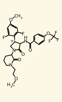 COCCN1CCCC(N2C[C@@H](c3c(F)cc(OC)cc3F)C(NC(=O)c3ccc(OC(F)(F)F)cc3)C2=O)C1=O